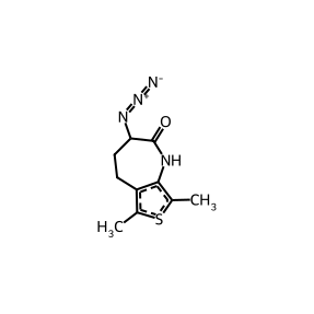 Cc1sc(C)c2c1CCC(N=[N+]=[N-])C(=O)N2